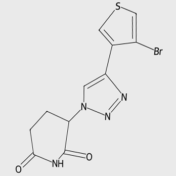 O=C1CCC(n2cc(-c3cscc3Br)nn2)C(=O)N1